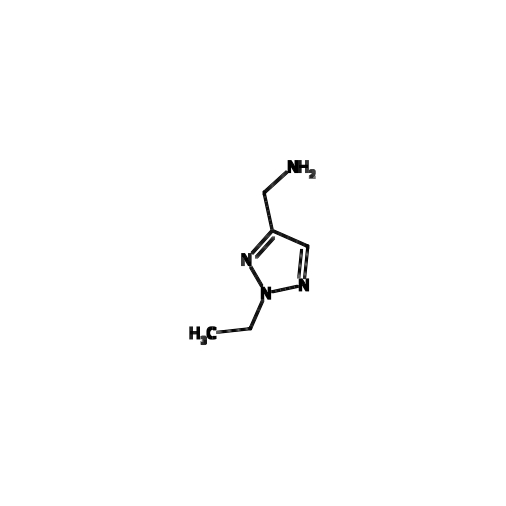 CCn1ncc(CN)n1